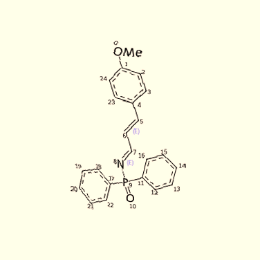 COc1ccc(/C=C/C=N/P(=O)(c2ccccc2)c2ccccc2)cc1